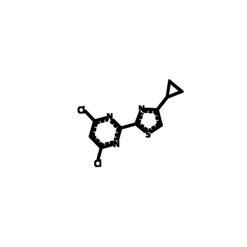 Clc1cc(Cl)nc(-c2nc(C3CC3)cs2)n1